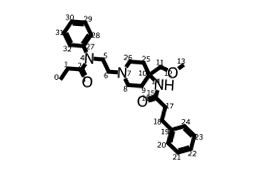 CCC(=O)N(CCN1CCC(COC)(NC(=O)CCc2ccccc2)CC1)c1ccccc1